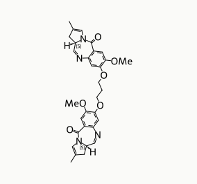 COc1cc2c(cc1OCCCOc1cc3c(cc1OC)C(=O)N1C=C(C)C[C@H]1C=N3)N=C[C@@H]1CC(C)=CN1C2=O